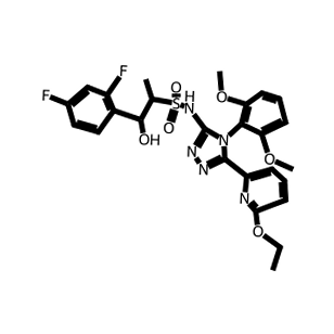 CCOc1cccc(-c2nnc(NS(=O)(=O)C(C)C(O)c3ccc(F)cc3F)n2-c2c(OC)cccc2OC)n1